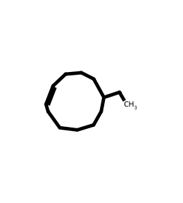 C[CH]C1CCC/C=C\CCCCC1